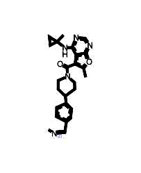 C/N=C\c1ccc(C2CCN(C(=O)c3c(C)oc4ncnc(NC5(C)CC5)c34)CC2)cc1